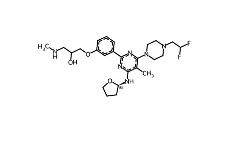 CNCC(O)COc1cccc(-c2nc(N[C@H]3CCCO3)c(C)c(N3CCN(CC(F)F)CC3)n2)c1